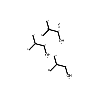 CC(C)CO.CC(C)CO.CC(C)CO.[V]